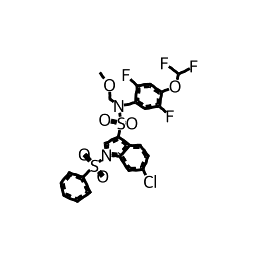 COCN(c1cc(F)c(OC(F)F)cc1F)S(=O)(=O)c1cn(S(=O)(=O)c2ccccc2)c2cc(Cl)ccc12